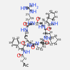 CC(=O)CCC(=O)N[C@@H](Cc1ccccc1)C(=O)N[C@H]1CCCNC(=O)[C@H](CCCNC(=N)N)NC(=O)[C@H](Cc2c[nH]c3ccccc23)NC(=O)[C@@H](CC2CCCCC2)NC(=O)[C@@H]2CCCN2C1=O